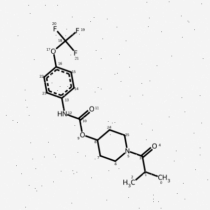 CC(C)C(=O)N1CCC(OC(=O)Nc2ccc(OC(F)(F)F)cc2)CC1